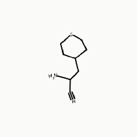 N#CC(N)CC1CCSCC1